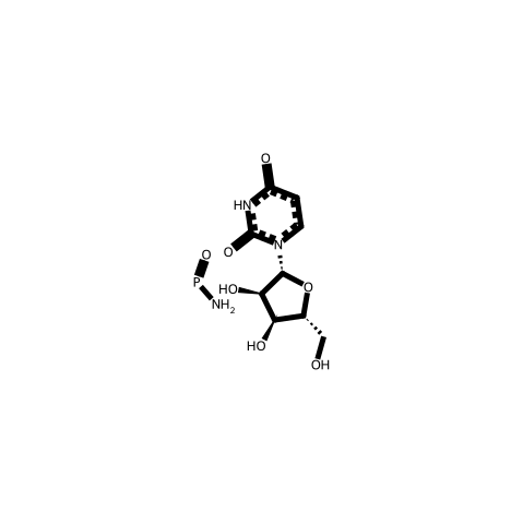 NP=O.O=c1ccn([C@@H]2O[C@H](CO)[C@@H](O)[C@H]2O)c(=O)[nH]1